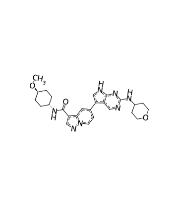 CO[C@H]1CC[C@H](NC(=O)c2cnn3ccc(-c4c[nH]c5nc(NC6CCOCC6)ncc45)cc23)CC1